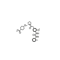 COC(=O)C1CCC(OC[C@@H]2CCCN2C(=O)Cc2ccc(NC(=O)Nc3ccccc3C)c(OC)c2)CC1